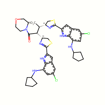 O=C(O)C(C(C(=O)N1CCOCC1)[C@@H]1CSC(c2cc3cc(Cl)cc(NC4CCCC4)c3[nH]2)=N1)[C@@H]1CSC(c2cc3cc(Cl)cc(NC4CCCC4)c3[nH]2)=N1